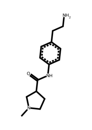 CN1CCC(C(=O)Nc2ccc(CCN)cc2)C1